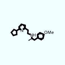 COc1ccc(C[C@@H](C)NCCc2cccc(C3CCCC3)n2)cc1